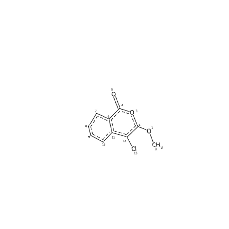 COc1oc(=O)c2ccccc2c1Cl